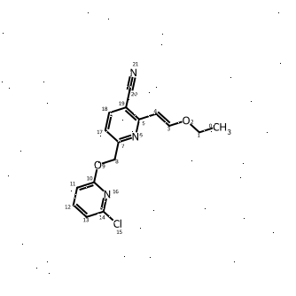 CCO/C=C/c1nc(COc2cccc(Cl)n2)ccc1C#N